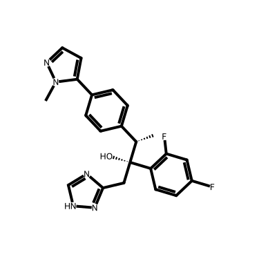 C[C@@H](c1ccc(-c2ccnn2C)cc1)[C@](O)(Cc1nc[nH]n1)c1ccc(F)cc1F